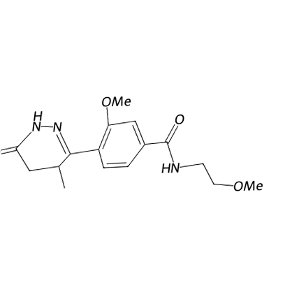 COCCNC(=O)c1ccc(C2=NNC(=O)CC2C)c(OC)c1